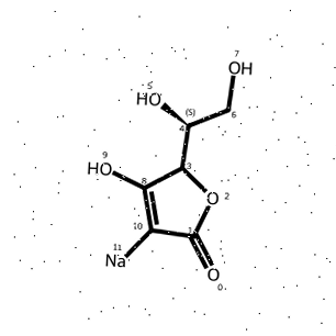 O=C1OC([C@@H](O)CO)C(O)=[C]1[Na]